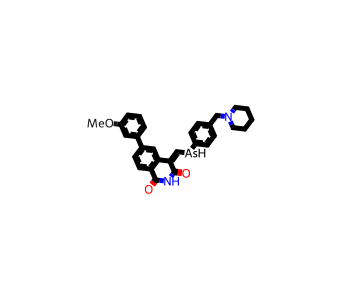 COc1cccc(-c2ccc3c(c2)/C(=C/[AsH]c2ccc(CN4CCCCC4)cc2)C(=O)NC3=O)c1